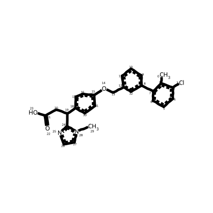 Cc1c(Cl)cccc1-c1cccc(COc2ccc(C(CC(=O)O)c3nccn3C)cc2)c1